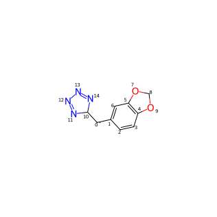 [CH](c1ccc2c(c1)OCO2)C1N=NN=N1